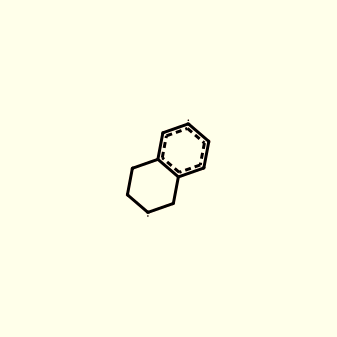 [c]1ccc2c(c1)CC[CH]C2